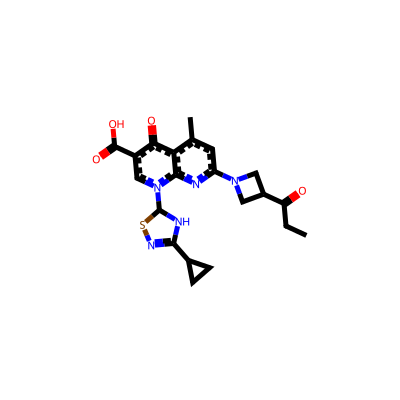 CCC(=O)C1CN(c2cc(C)c3c(=O)c(C(=O)O)cn(C4NC(C5CC5)=NS4)c3n2)C1